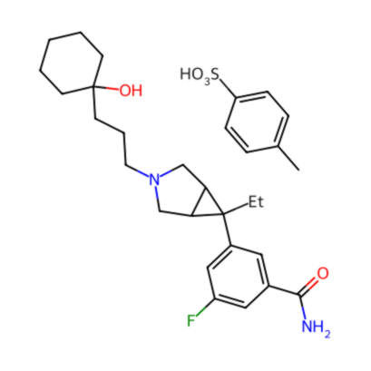 CCC1(c2cc(F)cc(C(N)=O)c2)C2CN(CCCC3(O)CCCCC3)CC21.Cc1ccc(S(=O)(=O)O)cc1